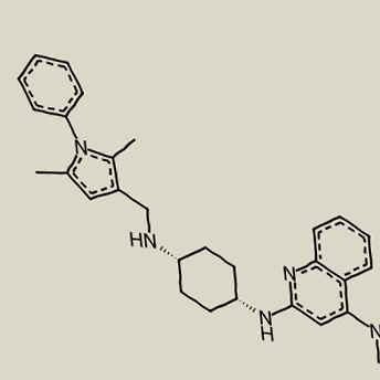 Cc1cc(CN[C@H]2CC[C@@H](Nc3cc(N(C)C)c4ccccc4n3)CC2)c(C)n1-c1ccccc1